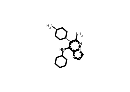 Nc1nn2ccnc2c(NC2CCCCC2)c1[C@H]1CC[C@H](N)CC1